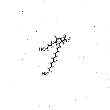 COC(=O)C(C)(CSCCCCCCCCCCO)CC(C)C(=O)OCCCO